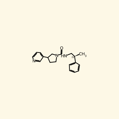 C[C@H](CNC(=O)N1CCC(c2cccnc2)C1)c1ccccc1